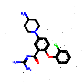 NC(N)=NC(=O)c1cc(N2CCC(N)CC2)ccc1Oc1ccccc1Cl